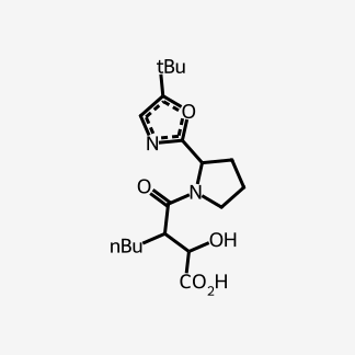 CCCCC(C(=O)N1CCCC1c1ncc(C(C)(C)C)o1)C(O)C(=O)O